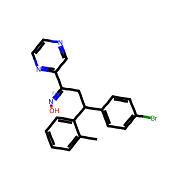 Cc1ccccc1C(C/C(=N\O)c1cnccn1)c1ccc(Br)cc1